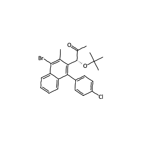 CC(=O)[C@H](OC(C)(C)C)c1c(C)c(Br)c2ccccc2c1-c1ccc(Cl)cc1